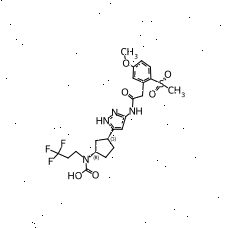 COc1ccc(S(C)(=O)=O)c(CC(=O)Nc2cc([C@H]3CC[C@@H](N(CCC(F)(F)F)C(=O)O)C3)[nH]n2)c1